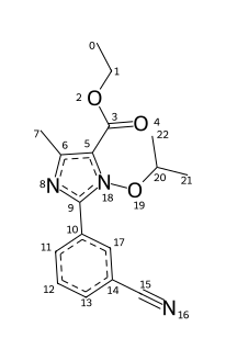 CCOC(=O)c1c(C)nc(-c2cccc(C#N)c2)n1OC(C)C